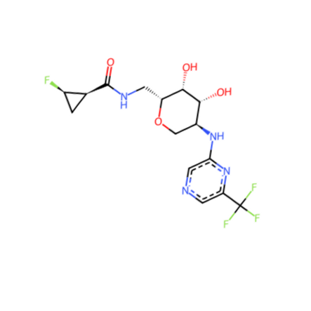 O=C(NC[C@H]1OC[C@H](Nc2cncc(C(F)(F)F)n2)[C@@H](O)[C@H]1O)[C@H]1C[C@H]1F